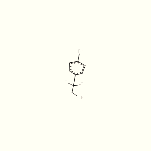 FC(F)(F)CC(F)(F)c1ccc(Br)cc1